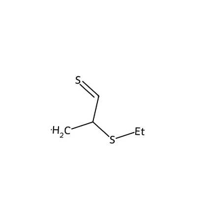 [CH2]C(C=S)SCC